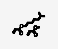 C=CC(=O)OC.C=CC(=O)OCCCCCC(C)C